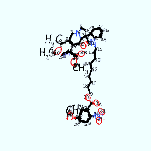 CC[C@H]1CN2CC[C@]3(C(=O)N(CCCCCCCCCOC(=O)c4cc(OC)ccc4[N+](=O)[O-])c4ccccc43)C2C[C@@H]1/C(=C\OC)C(=O)OC